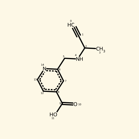 C#CC(C)NCc1cc(C(=O)O)ccn1